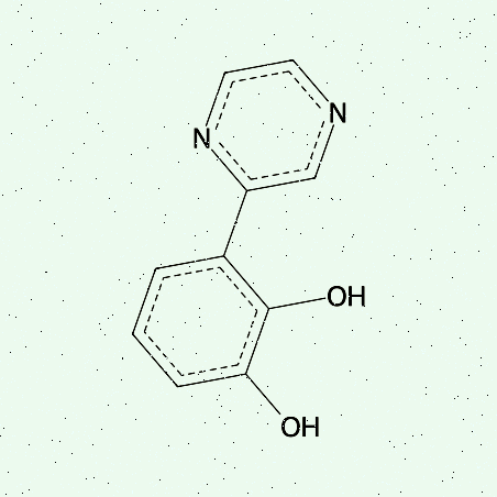 Oc1cccc(-c2cnccn2)c1O